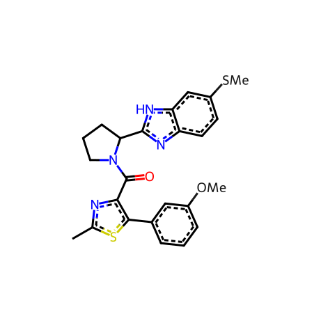 COc1cccc(-c2sc(C)nc2C(=O)N2CCCC2c2nc3ccc(SC)cc3[nH]2)c1